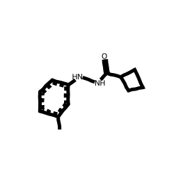 Cc1cccc(NNC(=O)C2CCC2)c1